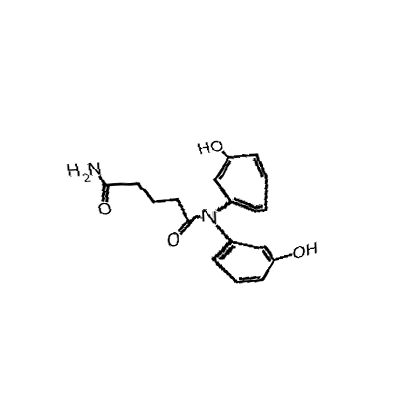 NC(=O)CCCC(=O)N(c1cccc(O)c1)c1cccc(O)c1